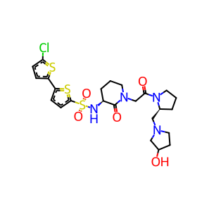 O=C1[C@@H](NS(=O)(=O)c2ccc(-c3ccc(Cl)s3)s2)CCCN1CC(=O)N1CCC[C@H]1CN1CCC(O)C1